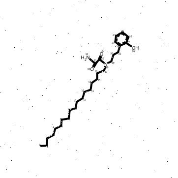 CCCCCCCCCCCCCCCCCCN(CCCc1ccccc1O)C(=O)C(N)=O